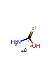 NC(O)=S.[Zr]